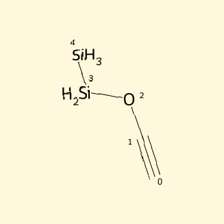 C#CO[SiH2][SiH3]